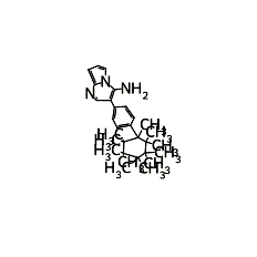 CC1(C)C(C)(C)C(C)(C)C(C)(c2ccc(-c3cnc4cccn4c3N)cc2)C(C)(C)C1(C)C